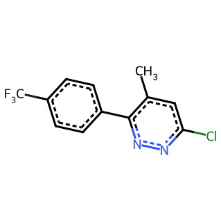 Cc1cc(Cl)nnc1-c1ccc(C(F)(F)F)cc1